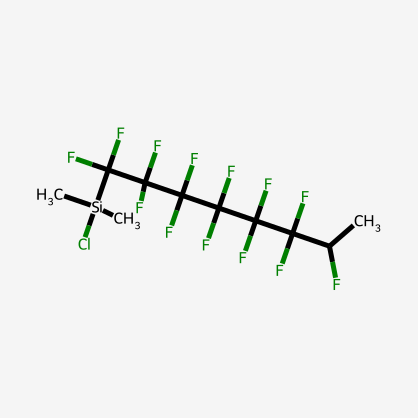 CC(F)C(F)(F)C(F)(F)C(F)(F)C(F)(F)C(F)(F)C(F)(F)[Si](C)(C)Cl